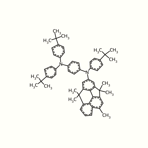 Cc1cc2c3c4c(cccc14)C(C)(C)c1cc(N(c4ccc(N(c5ccc(C(C)(C)C)cc5)c5ccc(C(C)(C)C)cc5)cc4)c4ccc(C(C)(C)C)cc4)cc(c1-3)C2(C)C